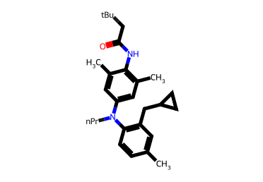 CCCN(c1cc(C)c(NC(=O)CC(C)(C)C)c(C)c1)c1ccc(C)cc1CC1CC1